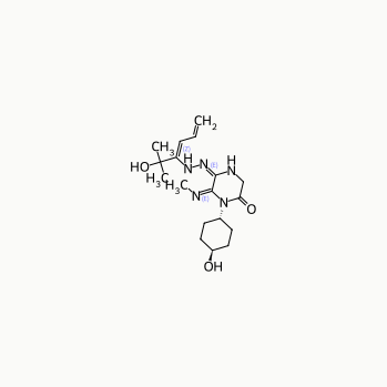 C=C/C=C(\N/N=C1/NCC(=O)N([C@H]2CC[C@H](O)CC2)/C1=N/C)C(C)(C)O